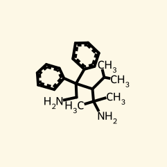 CC(C)C(C(C)(C)N)C(CN)(c1ccccc1)c1ccccc1